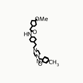 COC1CCC(CC(=O)NC2CCC(CCN3CCN(c4noc5cc(C)ccc45)CC3)CC2)CC1